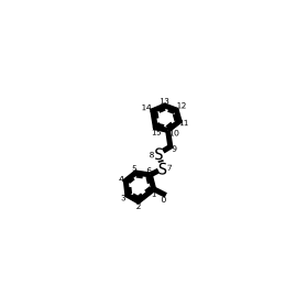 Cc1ccccc1SSCc1ccccc1